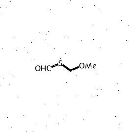 COCSC=O